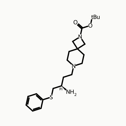 CC(C)(C)OC(=O)N1CC2(CCN(CC[C@@H](N)CSc3ccccc3)CC2)C1